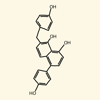 Oc1ccc(Cc2ccc3c(-c4ccc(O)cc4)ccc(O)c3c2O)cc1